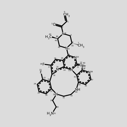 C=CC(=O)N1C[C@H](C)N(c2nc(=O)n3c4nc(c(F)cc24)-c2c(F)cccc2N(CCN)CCNc2ccnc(C(C)C)c2-3)C[C@H]1C